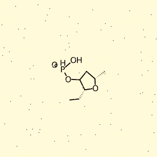 CC[C@H]1O[C@@H](C)CC1O[PH](=O)O